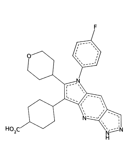 O=C(O)C1CCC(c2c(C3CCOCC3)n(-c3ccc(F)cc3)c3cc4cn[nH]c4nc23)CC1